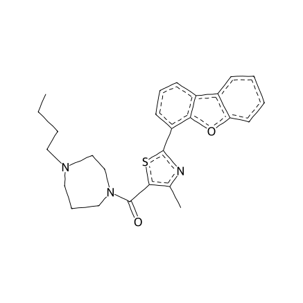 CCCCN1CCCN(C(=O)c2sc(-c3cccc4c3oc3ccccc34)nc2C)CC1